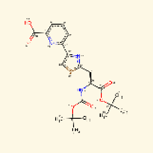 CC(C)(C)OC(=O)N[C@@H](Cc1nc(-c2cccc(C(=O)O)n2)cs1)C(=O)OC(C)(C)C